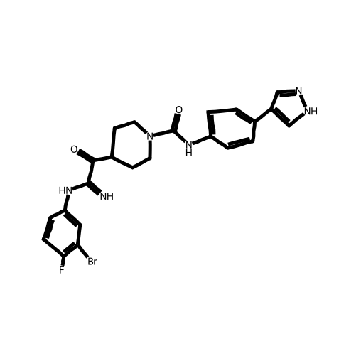 N=C(Nc1ccc(F)c(Br)c1)C(=O)C1CCN(C(=O)Nc2ccc(-c3cn[nH]c3)cc2)CC1